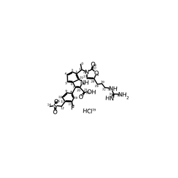 CC(c1cccc2c(-c3ccc(CS(C)(=O)=O)c(F)c3)c(C(=O)O)[nH]c12)n1cc(CCCNC(=N)N)oc1=O.Cl